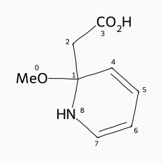 COC1(CC(=O)O)C=CC=CN1